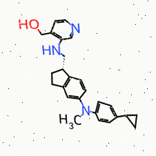 CN(c1ccc(C2CC2)cc1)c1ccc2c(c1)CC[C@@H]2CNc1cnccc1CO